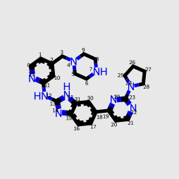 c1cc(CN2CCNCC2)cc(Nc2nc3ccc(-c4ccnc(N5CCCC5)n4)cc3[nH]2)n1